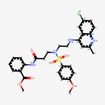 COC(=O)c1ccccc1NC(=O)CCN(CCNc1cc(C)nc2ccc(Cl)cc12)S(=O)(=O)c1ccc(OC)cc1